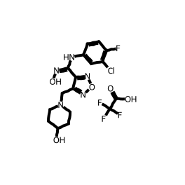 O/N=C(/Nc1ccc(F)c(Cl)c1)c1nonc1CN1CCC(O)CC1.O=C(O)C(F)(F)F